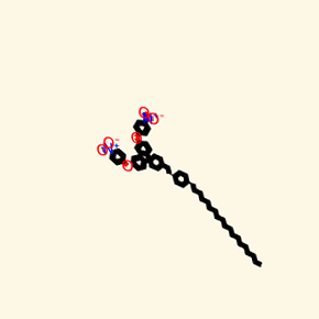 CCCCCCCCCCCCCCCCCCC[C@H]1CC[C@H](CCC2CCC(c3ccc(Oc4ccc([N+](=O)[O-])cc4)cc3)(c3ccc(Oc4ccc([N+](=O)[O-])cc4)cc3)CC2)CC1